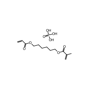 C=CC(=O)OCCCCCCOC(=O)C(=C)C.O=P(O)(O)O